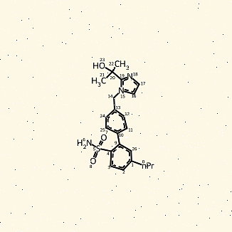 CCCc1ccc(S(N)(=O)=O)c(-c2ccc(Cn3ccnc3C(C)(C)O)cc2)c1